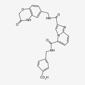 O=C1COc2ccc(CNC(=O)c3cn4c(C(=O)NCc5ccc(C(=O)O)cc5)cccc4n3)cc2N1